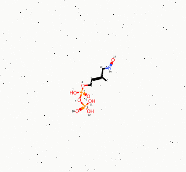 C/C(=C\COP(=O)(O)OP(=O)(O)O)CN=O